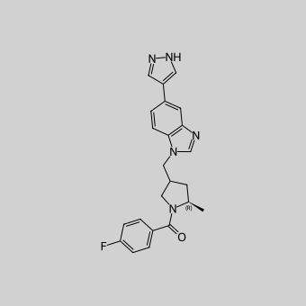 C[C@@H]1CC(Cn2cnc3cc(-c4cn[nH]c4)ccc32)CN1C(=O)c1ccc(F)cc1